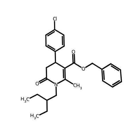 CCC(CC)CN1C(=O)CC(c2ccc(Cl)cc2)C(C(=O)OCc2ccccc2)=C1C